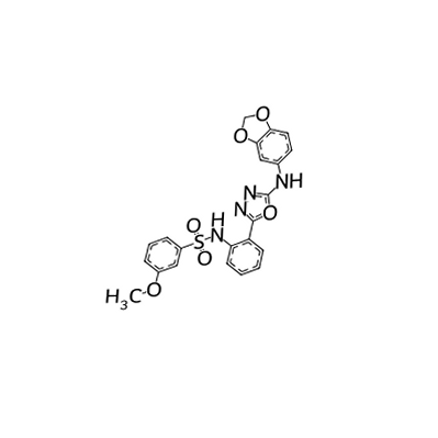 COc1cccc(S(=O)(=O)Nc2ccccc2-c2nnc(Nc3ccc4c(c3)OCO4)o2)c1